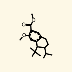 COC(=O)c1cc2c(cc1OC)C(C(C)(C)C)C(C(C)C)CC2